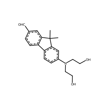 CC1(C)c2cc(C=O)ccc2-c2ccc(N(CCO)CCO)cc21